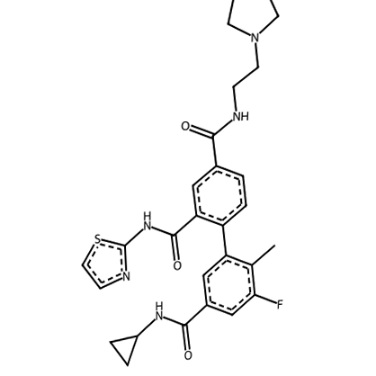 Cc1c(F)cc(C(=O)NC2CC2)cc1-c1ccc(C(=O)NCCN2CCCC2)cc1C(=O)Nc1nccs1